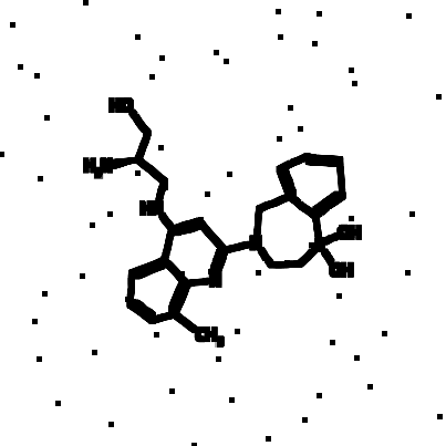 Cc1cccc2c(NC[C@@H](N)CO)cc(N3CCS(O)(O)c4ccccc4C3)nc12